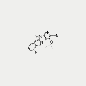 CC[C@@H](C)Oc1nc(Nc2cc3cccc(F)c3cn2)cnc1C#N